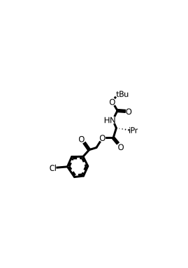 CC(C)[C@@H](NC(=O)OC(C)(C)C)C(=O)OCC(=O)c1cccc(Cl)c1